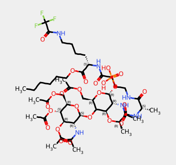 CCCCCCOC(=O)[C@H](CCCCNC(=O)C(F)(F)F)NC(=O)CCCNC(=O)[C@H](C)NC(=O)[C@@H](C)O[C@H]1C(O[C@@H]2O[C@H](COC(C)=O)[C@@H](OC(C)=O)[C@H](OC(C)=O)[C@H]2NC(C)=O)[C@@H](COC(C)=O)O[C@H](OP(=O)(O)O)[C@@H]1NC(C)=O